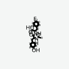 CC(=O)NC(Cc1ccc(O)cc1)C(=O)NC(Cc1ccc(F)cc1)C(=O)O